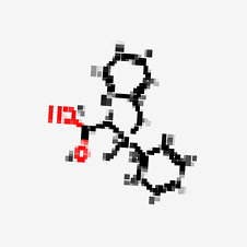 C[Si](CC(=O)O)(Cc1ccccc1)c1ccccc1